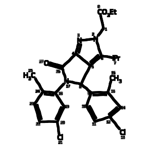 CCOC(=O)Cn1nc2c(c1C(C)C)C(c1ccc(Cl)cc1C)N(c1cc(Cl)ccc1C)C2=O